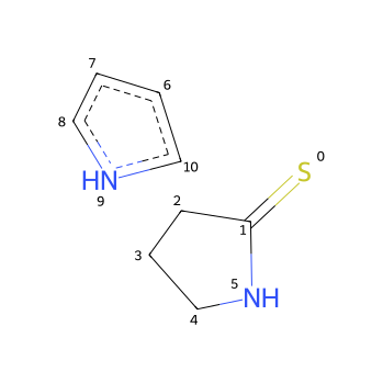 S=C1CCCN1.c1cc[nH]c1